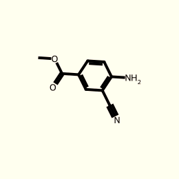 COC(=O)c1ccc(N)c(C#N)c1